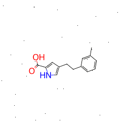 Cc1cccc(CCc2c[nH]c(C(=O)O)c2)c1